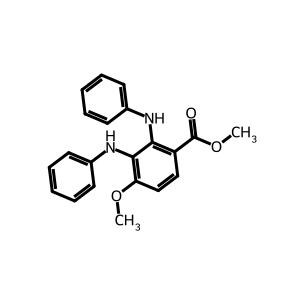 COC(=O)c1ccc(OC)c(Nc2ccccc2)c1Nc1ccccc1